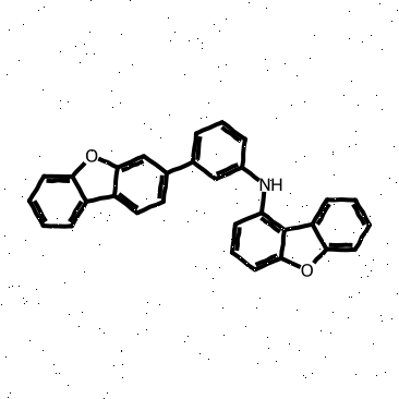 c1cc(Nc2cccc3oc4ccccc4c23)cc(-c2ccc3c(c2)oc2ccccc23)c1